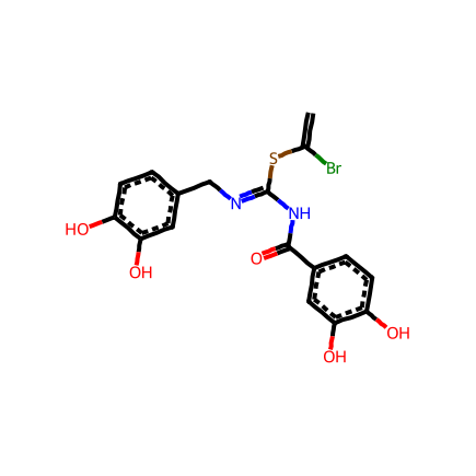 C=C(Br)S/C(=N\Cc1ccc(O)c(O)c1)NC(=O)c1ccc(O)c(O)c1